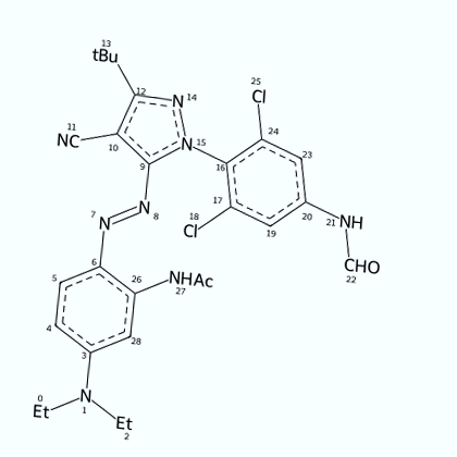 CCN(CC)c1ccc(/N=N/c2c(C#N)c(C(C)(C)C)nn2-c2c(Cl)cc(NC=O)cc2Cl)c(NC(C)=O)c1